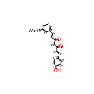 COc1cccc(C=CC(=O)CC(=O)C=Cc2ccc(O)cc2)c1